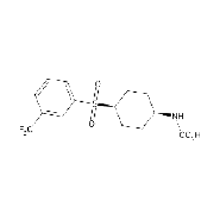 O=C(O)N[C@H]1CC[C@@H](S(=O)(=O)c2cccc(C(F)(F)F)c2)CC1